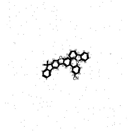 CC1(C)c2ccccc2-c2cc3c(cc21)oc1ccc(-c2cc(C#N)ccc2-n2c4ccccc4c4ccccc42)cc13